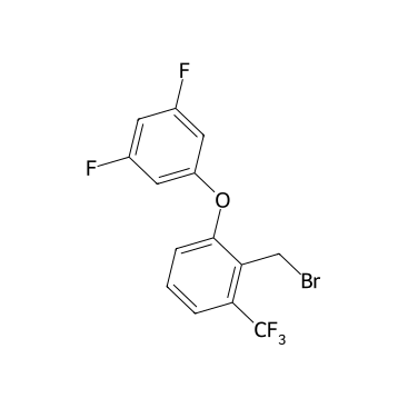 Fc1cc(F)cc(Oc2cccc(C(F)(F)F)c2CBr)c1